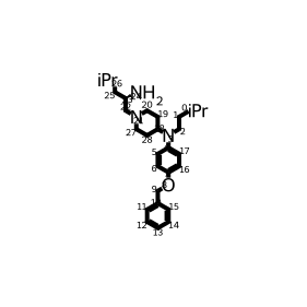 CC(C)CCN(c1ccc(OCc2ccccc2)cc1)C1CCN(C[C@H](N)CC(C)C)CC1